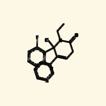 CCN1C(=O)CC=C(c2cccnc2)C1(Cl)c1c(F)cccc1F